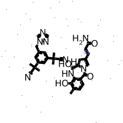 CC(C)(C#N)c1cc(Cn2cncn2)cc(C(C)(C)C#N)c1.Cc1ccc2c(c1O)N[C@@H](O)[C@@H]1CC(/C=C/C(N)=O)=CN1C2=O